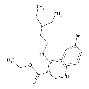 CCOC(=O)c1cnc2ccc(Br)cc2c1NCCN(CC)CC